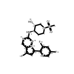 CS(=O)(=O)N1CC[C@@H](Nc2ncc3c(F)cc(-c4ncc(F)cc4F)n3n2)[C@H](O)C1